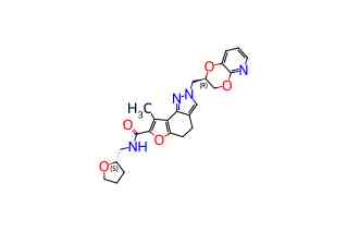 Cc1c(C(=O)NC[C@@H]2CCCO2)oc2c1-c1nn(C[C@@H]3COc4ncccc4O3)cc1CC2